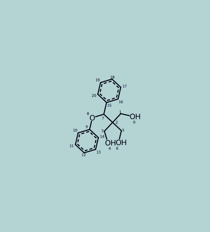 OCC(CO)(CO)C(Oc1ccccc1)c1ccccc1